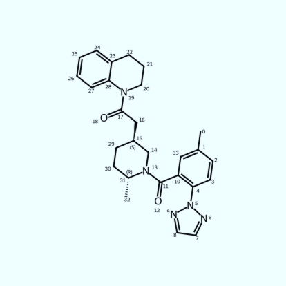 Cc1ccc(-n2nccn2)c(C(=O)N2C[C@H](CC(=O)N3CCCc4ccccc43)CC[C@H]2C)c1